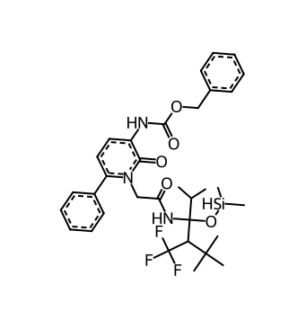 CC(C)C(NC(=O)Cn1c(-c2ccccc2)ccc(NC(=O)OCc2ccccc2)c1=O)(O[SiH](C)C)C(C(C)(C)C)C(F)(F)F